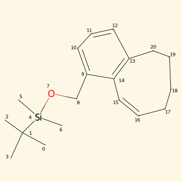 CC(C)(C)[Si](C)(C)OCc1cccc2c1/C=C\CCCC2